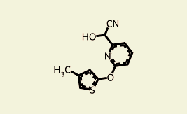 Cc1csc(Oc2cccc(C(O)C#N)n2)c1